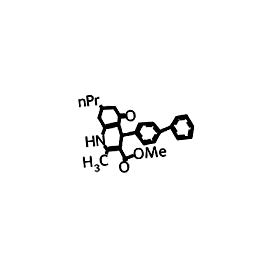 CCCC1CC(=O)C2=C(C1)NC(C)=C(C(=O)OC)C2c1ccc(-c2ccccc2)cc1